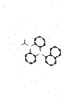 CC(C)N1c2ccccc2N(c2cccc3ccccc23)c2ccccc21